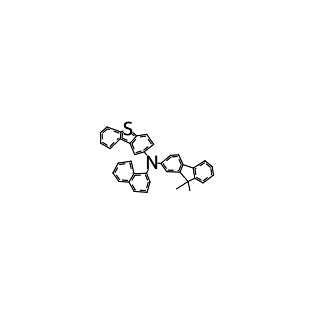 CC1(C)c2ccccc2-c2ccc(N(c3ccc4sc5ccccc5c4c3)c3cccc4ccccc34)cc21